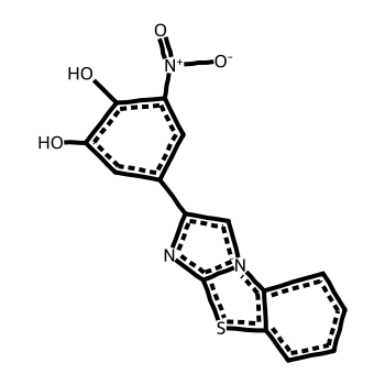 O=[N+]([O-])c1cc(-c2cn3c(n2)sc2ccccc23)cc(O)c1O